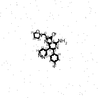 Nc1nc(-c2ccc(F)cc2)c(-c2ccnnc2)c2nn(CN3CCCO3)c(=O)n12